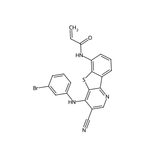 C=CC(=O)Nc1cccc2c1sc1c(Nc3cccc(Br)c3)c(C#N)cnc12